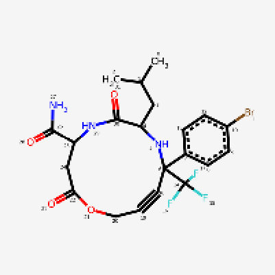 CC(C)CC1NC(c2ccc(Br)cc2)(C(F)(F)F)C#CCOC(=O)CC(C(N)=O)NC1=O